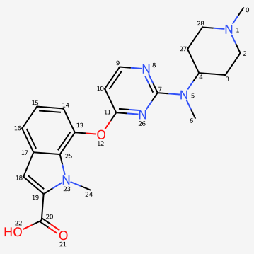 CN1CCC(N(C)c2nccc(Oc3cccc4cc(C(=O)O)n(C)c34)n2)CC1